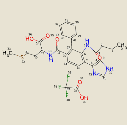 CCCC(=O)Nc1c(-c2c[nH]cn2)ccc(C(=O)NC(CCSC)C(=O)O)c1-c1ccccc1.O=C(O)C(F)(F)F